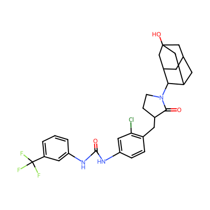 O=C(Nc1cccc(C(F)(F)F)c1)Nc1ccc(CC2CCN(C3C4CC5CC3CC(O)(C5)C4)C2=O)c(Cl)c1